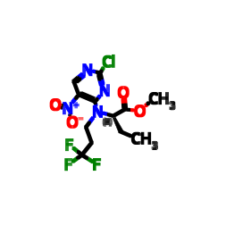 CC[C@H](C(=O)OC)N(CCC(F)(F)F)c1nc(Cl)ncc1[N+](=O)[O-]